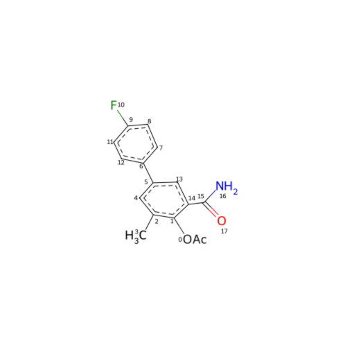 CC(=O)Oc1c(C)cc(-c2ccc(F)cc2)cc1C(N)=O